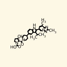 Cc1nc2c(C)cc(-c3[nH]c4ccc(C5CCN(C(=O)[C@@H]6[C@H](O)CCN6C(=O)O)CC5)cc4c3C(C)C)cn2n1